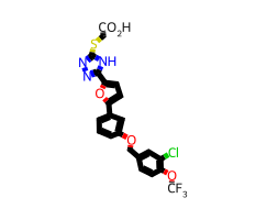 O=C(O)CSc1nnc(-c2ccc(-c3cccc(OCc4ccc(OC(F)(F)F)c(Cl)c4)c3)o2)[nH]1